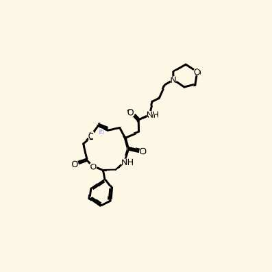 O=C(CC1C/C=C/CCC(=O)OC(c2ccccc2)CNC1=O)NCCCN1CCOCC1